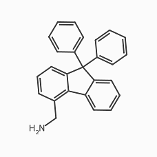 NCc1cccc2c1-c1ccccc1C2(c1ccccc1)c1ccccc1